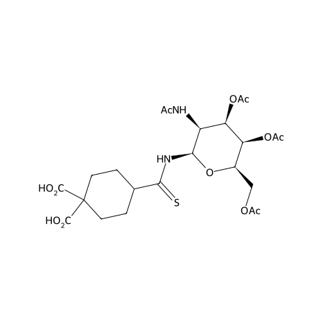 CC(=O)N[C@H]1[C@@H](OC(C)=O)[C@@H](OC(C)=O)[C@@H](COC(C)=O)O[C@H]1NC(=S)C1CCC(C(=O)O)(C(=O)O)CC1